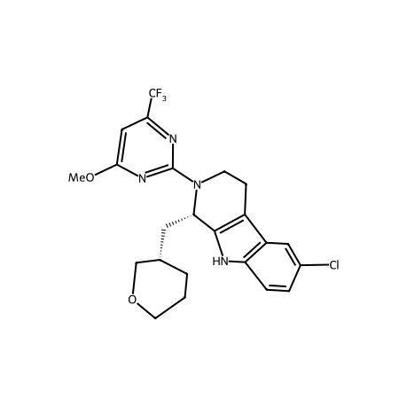 COc1cc(C(F)(F)F)nc(N2CCc3c([nH]c4ccc(Cl)cc34)[C@@H]2C[C@@H]2CCCOC2)n1